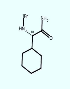 CC(C)N[C@H](C(N)=O)C1CCCCC1